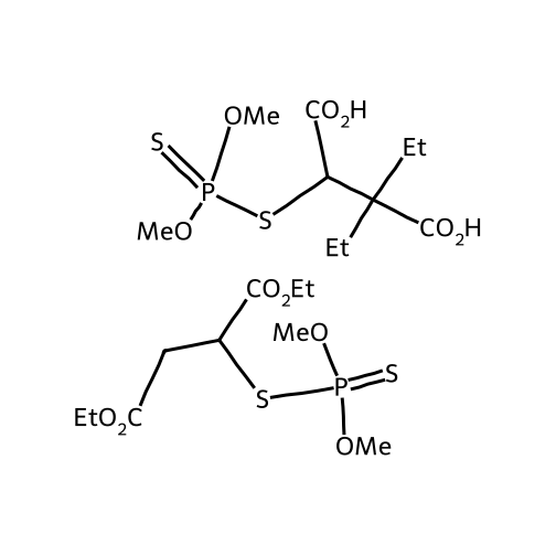 CCC(CC)(C(=O)O)C(SP(=S)(OC)OC)C(=O)O.CCOC(=O)CC(SP(=S)(OC)OC)C(=O)OCC